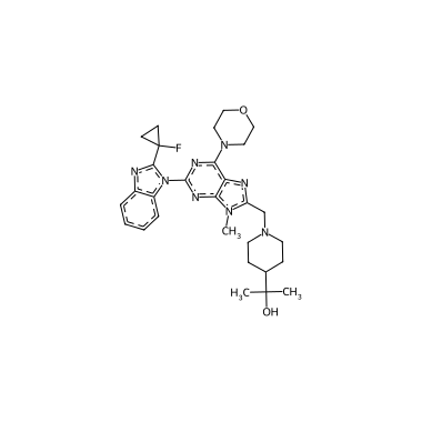 Cn1c(CN2CCC(C(C)(C)O)CC2)nc2c(N3CCOCC3)nc(-n3c(C4(F)CC4)nc4ccccc43)nc21